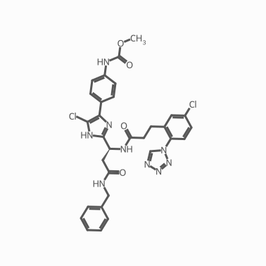 COC(=O)Nc1ccc(-c2nc([C@H](CC(=O)NCc3ccccc3)NC(=O)CCc3cc(Cl)ccc3-n3cnnn3)[nH]c2Cl)cc1